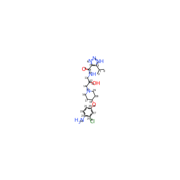 CC(C)c1[nH]nnc1C(=O)NC[C@@H](O)CN1CCC(Oc2ccc(N)c(Cl)c2)CC1